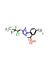 CC(c1cc(C(F)(F)F)ccc1-c1ncc(/C=C(\Cl)C(F)(F)C(F)(F)F)n1C)[SH](=O)=O